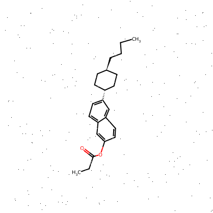 CCCC[C@H]1CC[C@H](c2ccc3cc(OC(=O)CC)ccc3c2)CC1